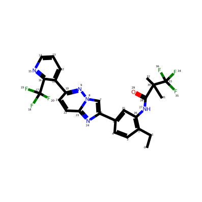 CCc1ccc(-c2cn3nc(-c4cccnc4C(F)(F)F)ccc3n2)cc1NC(=O)C(C)(C)C(F)(F)F